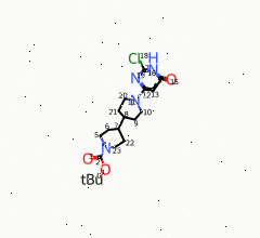 CC(C)(C)OC(=O)N1CCC(C2CCN(c3cc(=O)[nH]c(Cl)n3)CC2)CC1